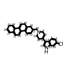 Clc1ccc2c(C3=CCN(CC4C=CC5=C(CC=c6c5ccc5c6=CCC=C5)C4)CC3)c[nH]c2c1